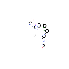 COc1nc(-c2cccc(-c3cccc(-c4ccn5c(=O)c(CN6C[C@H](O)C[C@@H]6C(=O)O)cnc5c4)c3Cl)c2Cl)ccc1CNC[C@@H]1CCC(=O)N1